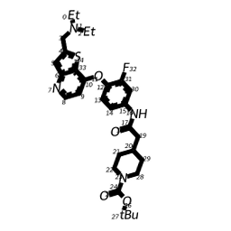 CCN(CC)Cc1cc2nccc(Oc3ccc(NC(=O)CC4CCN(C(=O)OC(C)(C)C)CC4)cc3F)c2s1